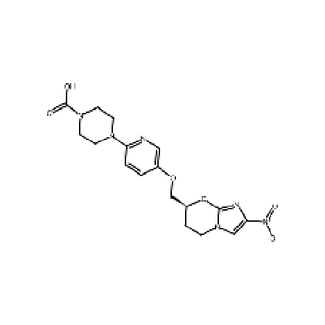 O=C(O)N1CCN(c2ccc(OC[C@@H]3CCn4cc([N+](=O)[O-])nc4O3)cn2)CC1